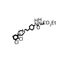 CCOC(=O)CNC(=O)NC1CCC(CCN2CCN(c3cccc(Cl)c3Cl)CC2)CC1